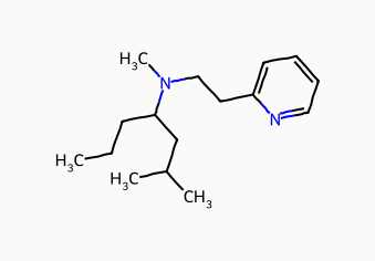 CCCC(CC(C)C)N(C)CCc1ccccn1